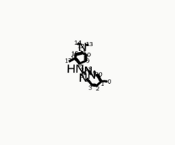 Cc1ccc2nc(Nc3ccc(N(C)C)cc3C)nn2c1